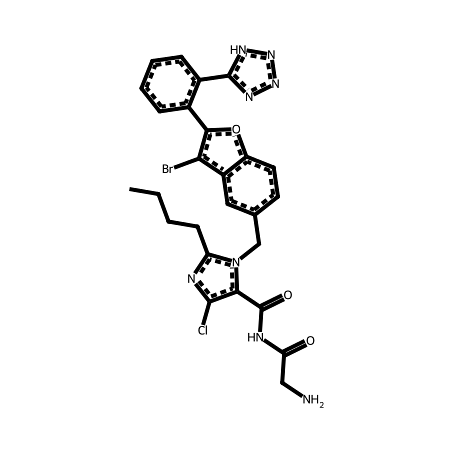 CCCCc1nc(Cl)c(C(=O)NC(=O)CN)n1Cc1ccc2oc(-c3ccccc3-c3nnn[nH]3)c(Br)c2c1